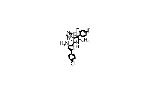 CC(NC(=O)c1sc(-c2ccc(Cl)cc2)cc1N)C(O)(Cn1cncn1)c1ccc(F)cc1F